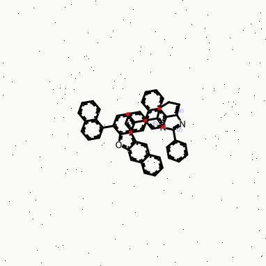 C1=C(c2ccc(-c3ccc(-c4cccc5ccccc45)c4oc5cc6ccccc6cc5c34)c3ccccc23)/N=C(c2ccccc2)\N=C(\c2ccccc2)CC/1